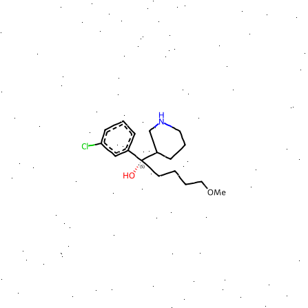 COCCCC[C@@](O)(c1cccc(Cl)c1)C1CCCNC1